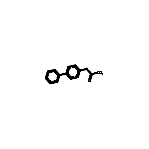 O=C(Oc1ccc(-c2ccccc2)cc1)C(Cl)(Cl)Cl